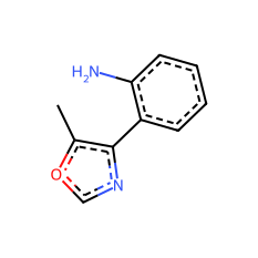 Cc1ocnc1-c1ccccc1N